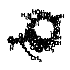 CCCCCCCCCC(=O)N[C@@H](Cc1c[nH]c2ccccc12)C(=O)N[C@H](CC(N)=O)C(=O)N[C@@H](CC(=O)O)C(=O)N[C@@H]1C(=O)NCC(=O)N[C@@H](CCCN)C(=O)N[C@@H](CC(=O)O)C(=O)N[C@H](C)C(=O)N[C@@H](CC(=O)O)C(=O)NCC(=O)N[C@H](CO)C(=O)N[C@@H](C(C)CC(=O)O)C(=O)N[C@@H](CC(=O)c2ccccc2NC)C(=O)O[C@@H]1C